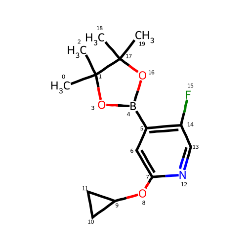 CC1(C)OB(c2cc(OC3CC3)ncc2F)OC1(C)C